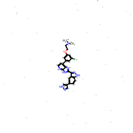 CN(C)CCOc1cc(F)cc(-c2ccnc3[nH]c(-c4n[nH]c5ccc(-c6cn[nH]c6)cc45)nc23)c1